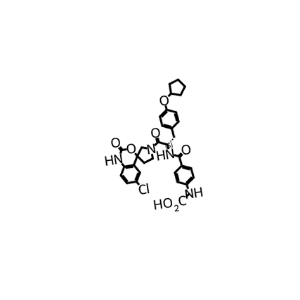 O=C(O)Nc1ccc(C(=O)N[C@@H](Cc2ccc(OC3CCCC3)cc2)C(=O)N2CCC3(C2)OC(=O)Nc2ccc(Cl)cc23)cc1